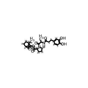 CC(NC(=O)CCc1ccc(O)c(O)c1)C(=O)N1CCCC1C(=O)OC1CC2CCC1(C)C2(C)C